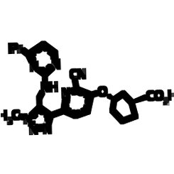 CC(C)c1ccnc(NCc2c(-c3ccc(O[C@H]4CCC[C@H](C(=O)O)C4)c(C#N)n3)nnn2C)n1